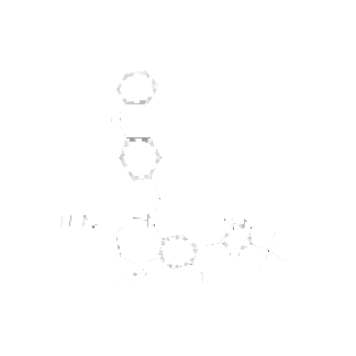 CC(C)(C)c1nnc(-c2cc3c(cc2F)S(=O)(=O)C[C@H](N)CN3Cc2ccc(Oc3ccccc3)cc2)o1